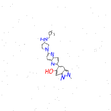 Cn1cc2cc(-c3ccc4nc(N5CCC(NCC(F)(F)F)C5)ccc4n3)c(O)cc2n1